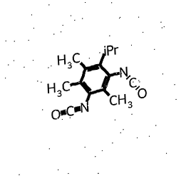 Cc1c(C)c(C(C)C)c(N=C=O)c(C)c1N=C=O